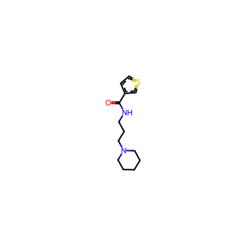 O=C(NCCCN1CCCCC1)c1ccsc1